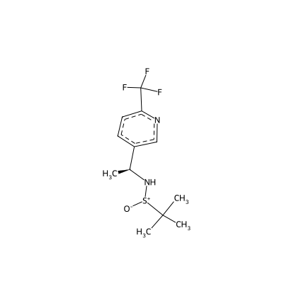 C[C@H](N[S+]([O-])C(C)(C)C)c1ccc(C(F)(F)F)nc1